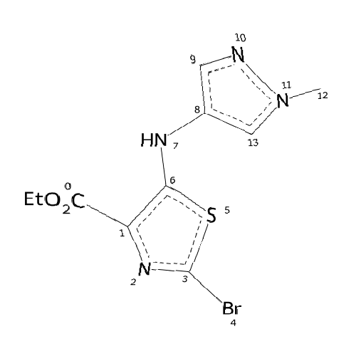 CCOC(=O)c1nc(Br)sc1Nc1cnn(C)c1